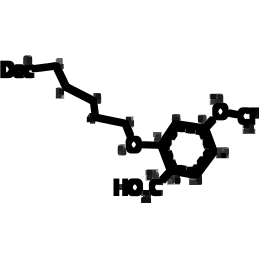 CCCCCCCCCCCCCCCOc1cc(OC(F)(F)F)ccc1C(=O)O